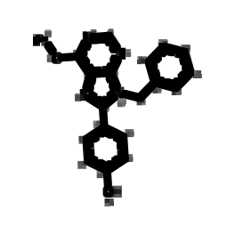 CC(C)Oc1ncnc2c1nc(-c1ccc(O)cc1)n2Cc1ccccc1